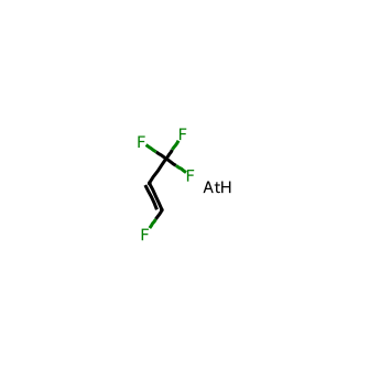 FC=CC(F)(F)F.[AtH]